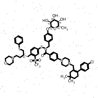 C[C@@H]1O[C@@H](Oc2ccc(CN(Sc3ccc(C[C@H](CCN4CCOCC4)CSc4ccccc4)c(S(=O)(=O)C(F)(F)F)c3)C(=O)c3ccc(N4CCN(CC5=C(c6ccc(Cl)cc6)CCC(C)(C)C5)CC4)cc3)cc2)[C@@H](O)[C@H](O)[C@@H]1O